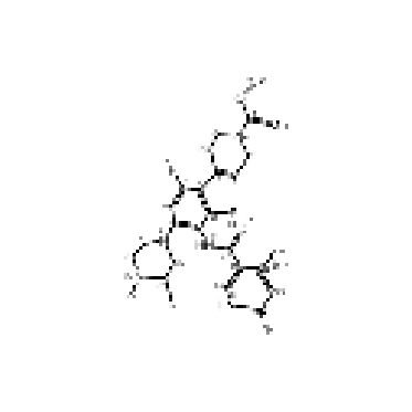 CC(C)OC(=O)N1CC=C(c2c(F)cc(N3CCN(C)C(C)C3)c(NC(=O)c3c[nH]c(=O)cc3C(F)(F)F)c2F)CC1